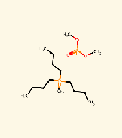 CCCC[PH](C)(CCCC)CCCC.CO[PH](=O)OC